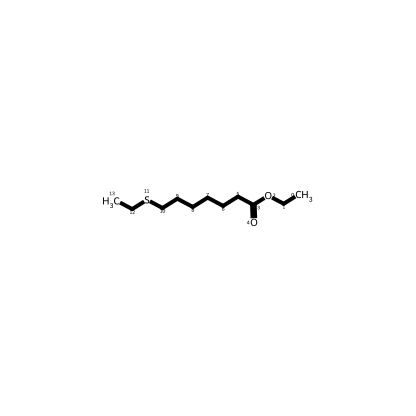 CCOC(=O)CCCCCCSCC